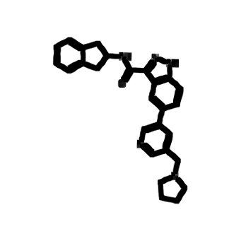 O=C(NC1Cc2ccccc2C1)c1n[nH]c2ccc(-c3cncc(CN4CCCC4)c3)cc12